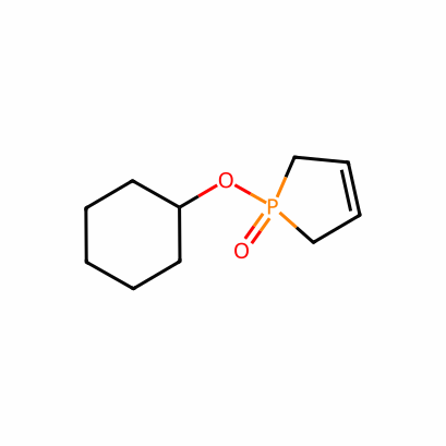 O=P1(OC2CCCCC2)CC=CC1